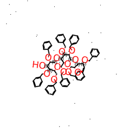 O[C@@H]1C(OCc2ccccc2)[C@@H](O[C@H]2C(COCc3ccccc3)O[C@@H](O[C@@H]3C(COCc4ccccc4)OC=C[C@@H]3OCc3ccccc3)C(OCc3ccccc3)[C@@H]2OCc2ccccc2)OC(COCc2ccccc2)[C@@H]1OCc1ccccc1